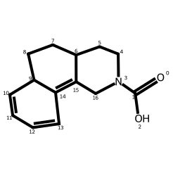 O=C(O)N1CCC2CCC3C=CC=CC3=C2C1